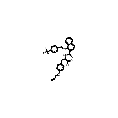 C=CCOc1ccc(CC(NC(=O)c2ccc3ccccc3c2OCc2ccc(C(F)(F)F)cc2)C(=O)O)cc1